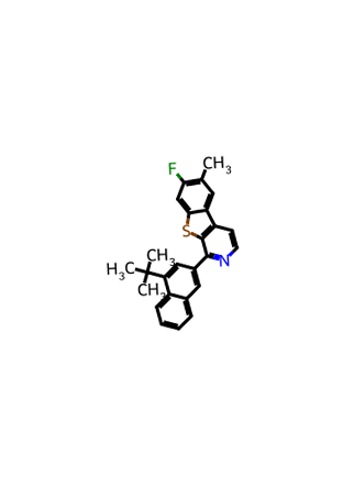 Cc1cc2c(cc1F)sc1c(-c3cc(C(C)(C)C)c4ccccc4c3)nccc12